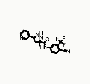 CC1(C(=O)Nc2ccc(C#N)c(C(F)(F)F)c2)CC(c2cccnc2)=NN1